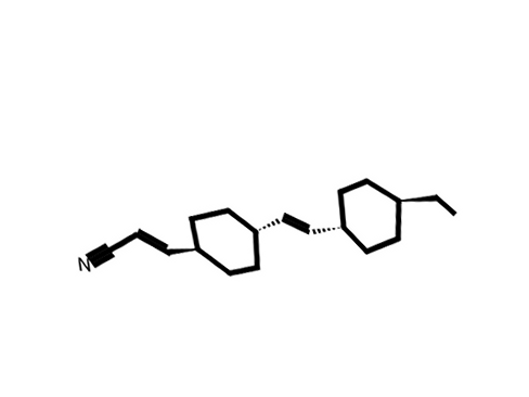 CC[C@H]1CC[C@H](C=C[C@H]2CC[C@H](C=CC#N)CC2)CC1